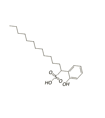 CCCCCCCCCCCCC(c1ccccc1O)S(=O)(=O)O